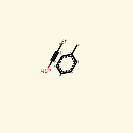 CCC#CO.Cc1ccccc1